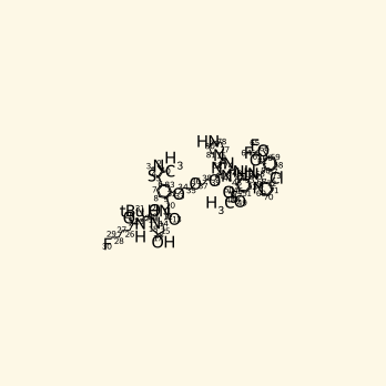 Cc1ncsc1-c1ccc(CNC(=O)[C@@H]2C[C@H](O)CN2C(=O)[C@@H](NC(=O)CCCCF)C(C)(C)C)c(OCCOCCOc2nc(Nc3cc(S(C)(=O)=O)ccc3N[C@@H](c3cccc4c3OC(F)(F)O4)c3ncccc3Cl)nc(N3CCNCC3)n2)c1